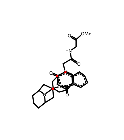 COC(=O)CNC(=O)Cn1c(=O)n(C2CC3CCCC(C2)N3C2CC3CCCC(C3)C2)c(=O)c2ccccc21